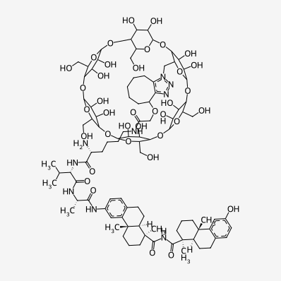 CC(C)[C@H](NC(=O)[C@H](N)CCCCNC(=O)COC1CCCCCc2c1nnn2CC1OC2OC3C(CO)OC(OC4C(CO)OC(OC5C(CO)OC(OC6C(CO)OC(OC7C(CO)OC(OC1C(O)C2O)C(O)C7O)C(O)C6O)C(O)C5O)C(O)C4O)C(O)C3O)C(=O)N[C@@H](C)C(=O)Nc1ccc2c(c1)[C@@]1(C)CCC[C@](C)(C(=O)NC(=O)[C@@]3(C)CCC[C@]4(C)c5cc(O)ccc5CC[C@@H]34)[C@@H]1CC2